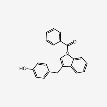 O=C(c1ccccc1)n1cc(Cc2ccc(O)cc2)c2ccccc21